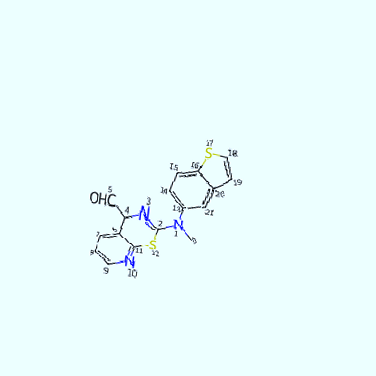 CN(C1=NC(C=O)c2cccnc2S1)c1ccc2sccc2c1